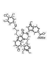 CNC(=O)c1ccc2c(c1)c(N1CC(C)n3c(c(CCCOc4cc(C)c(Cl)c(C)c4)c4ccc(Cl)c(-c5c(C)nn(C)c5C)c43)C1=O)cn2C